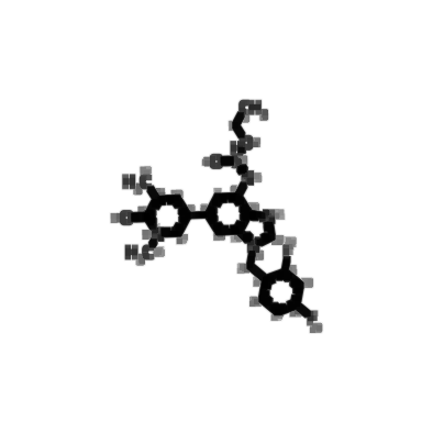 CCO[SH](=O)=Nc1cc(-c2cc(C)c(=O)n(C)c2)cc2c1ncn2Cc1ccc(F)cc1F